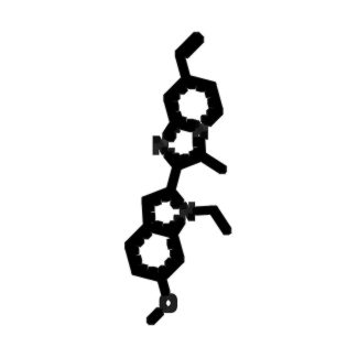 C=Cc1ccn2c(C)c(-c3cc4ccc(OC)cc4n3CC)nc2c1